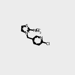 Nc1scc[n+]1Cc1ccc(Cl)nc1.[Cl-]